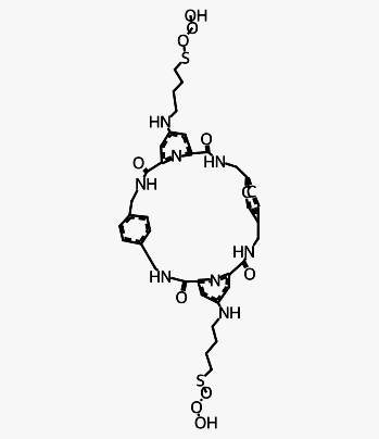 O=C1NCc2ccc(cc2)CNC(=O)c2cc(NCCCCSOOO)cc(n2)C(=O)NCc2ccc(cc2)CNC(=O)c2cc(NCCCCSOOO)cc1n2